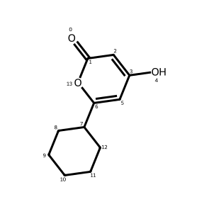 O=c1cc(O)cc(C2CCCCC2)o1